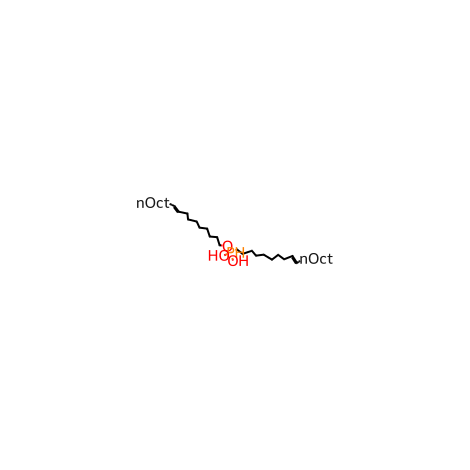 CCCCCCCCC=CCCCCCCCCO[PH](O)(O)CCCCCCCCC=CCCCCCCCC